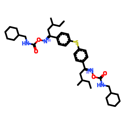 CCC(C)C/C(=N\OC(=O)NCC1CCCCC1)c1ccc(Sc2ccc(/C(CC(C)CC)=N/OC(=O)NCC3CCCCC3)cc2)cc1